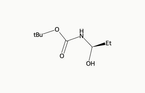 CC[C@@H](O)NC(=O)OC(C)(C)C